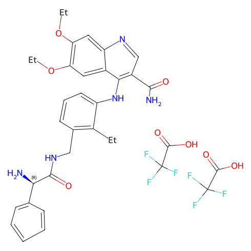 CCOc1cc2ncc(C(N)=O)c(Nc3cccc(CNC(=O)[C@H](N)c4ccccc4)c3CC)c2cc1OCC.O=C(O)C(F)(F)F.O=C(O)C(F)(F)F